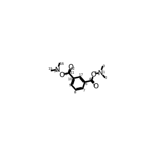 CN(C)OC(=O)c1cccc(C(=O)ON(C)C)c1